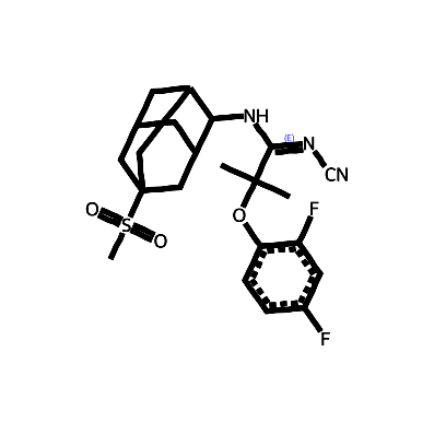 CC(C)(Oc1ccc(F)cc1F)/C(=N\C#N)NC1C2CC3CC1CC(S(C)(=O)=O)(C3)C2